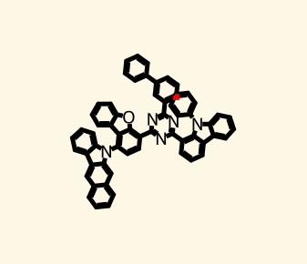 c1ccc(-c2cccc(-c3nc(-c4ccc(-n5c6ccccc6c6cc7ccccc7cc65)c5c4oc4ccccc45)nc(-c4cccc5c6ccccc6n(-c6ccccc6)c45)n3)c2)cc1